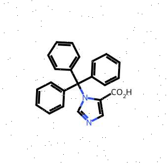 O=C(O)c1cncn1C(c1ccccc1)(c1ccccc1)c1ccccc1